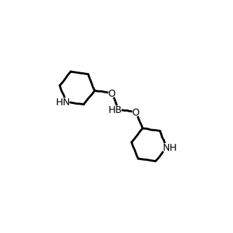 B(OC1CCCNC1)OC1CCCNC1